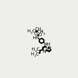 CCC(C)c1cc(N[C@H]2CC[C@H](NC(=O)OC(C)(C)C)CC2)n2nccc2n1